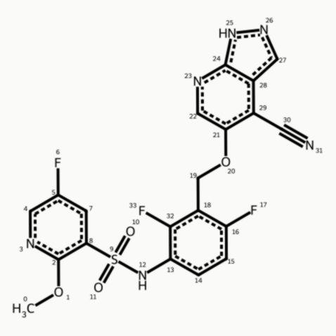 COc1ncc(F)cc1S(=O)(=O)Nc1ccc(F)c(COc2cnc3[nH]ncc3c2C#N)c1F